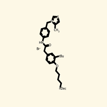 CCCCCCCCCCCCCCOc1ccc(CC(=O)Nc2ccc(C[n+]3cscc3C)cc2)cc1C(C)(C)C.[Br-]